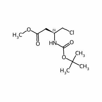 COC(=O)C[C@@H](CCl)NC(=O)OC(C)(C)C